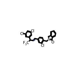 O=C1c2ccccc2CN1Cc1ccc(/C=C/C(c2cc(Cl)cc(Cl)c2)C(F)(F)F)cc1Cl